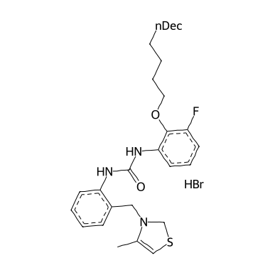 Br.CCCCCCCCCCCCCCOc1c(F)cccc1NC(=O)Nc1ccccc1CN1CSC=C1C